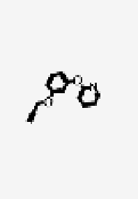 C#CCOc1cccc(Oc2ccccn2)c1